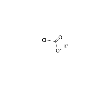 O=C([O-])Cl.[K+]